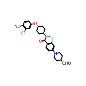 N#Cc1ccc(O[C@H]2CC[C@H](NC(=O)c3ccc(N4CCC(C=O)CC4)cc3F)CC2)cc1Cl